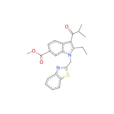 CCc1c(C(=O)C(C)C)c2ccc(C(=O)OC)cc2n1Cc1nc2ccccc2s1